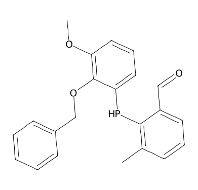 COc1cccc(Pc2c(C)cccc2C=O)c1OCc1ccccc1